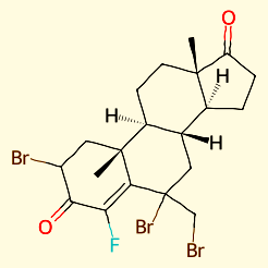 C[C@]12CC(Br)C(=O)C(F)=C1C(Br)(CBr)C[C@@H]1[C@@H]2CC[C@]2(C)C(=O)CC[C@@H]12